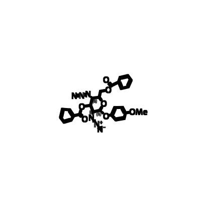 COc1ccc(O[C@@H]2OC(COC(=O)c3ccccc3)[C@@H](N=[N+]=[N-])C(OC(=O)c3ccccc3)[C@H]2N=[N+]=[N-])cc1